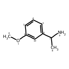 COc1[c]ccc(C(C)N)c1